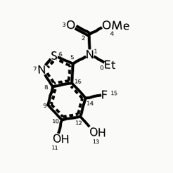 CCN(C(=O)OC)c1snc2cc(O)c(O)c(F)c12